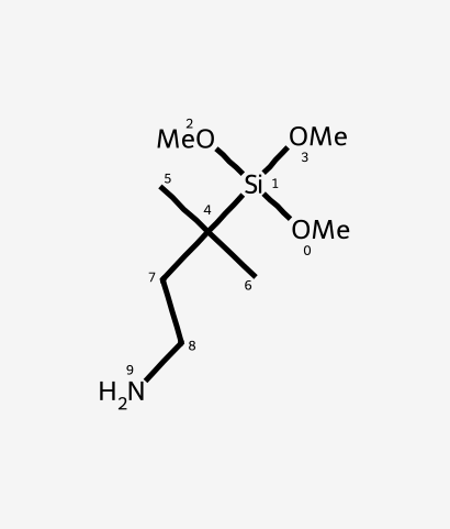 CO[Si](OC)(OC)C(C)(C)CCN